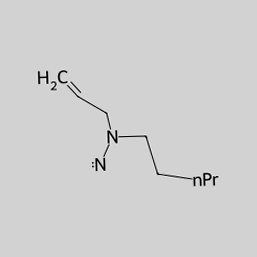 C=CCN([N])CCCCC